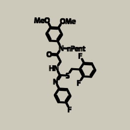 CCCCCN(C(=O)CNC(=Nc1ccc(F)cc1)SCc1c(F)cccc1F)c1ccc(OC)c(OC)c1